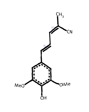 COc1cc(/C=C/C=C(/C)C#N)cc(OC)c1O